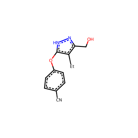 CCc1c(CO)n[nH]c1Oc1ccc(C#N)cc1